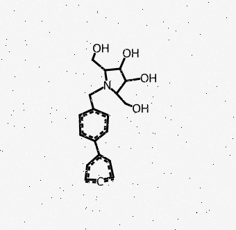 OCC1C(O)C(O)C(CO)N1Cc1ccc(-c2ccccc2)cc1